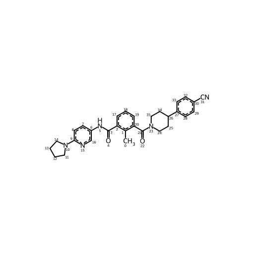 Cc1c(C(=O)Nc2ccc(N3CCCC3)nc2)cccc1C(=O)N1CCC(c2ccc(C#N)cc2)CC1